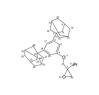 CC(C)C1(COc2cc(C34CC5CC(CC(C5)C3)C4)cc(C34CC5CC(CC(C5)C3)C4)c2)CO1